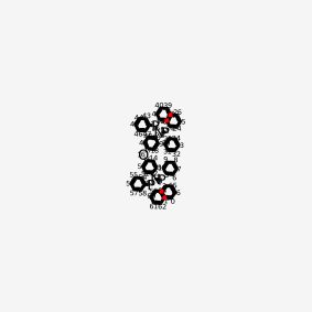 c1ccc(P(c2ccccc2)N(c2ccc(Oc3ccc(N(P(c4ccccc4)c4ccccc4)P(c4ccccc4)c4ccccc4)cc3)cc2)P(c2ccccc2)c2ccccc2)cc1